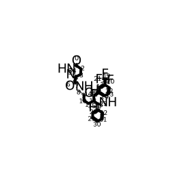 O=C1CCC(C(=O)NC[C@H]2CC[C@@H]3[C@H](O2)c2cc(C(F)(F)F)ccc2N[C@H]3c2ccccc2)=NN1